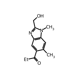 CCC(=O)c1cc2nc(CO)n(C)c2cc1C